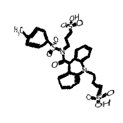 Cc1ccc(S(=O)(=O)N(CCCS(=O)(=O)O)C(=O)C2c3ccccc3N(CCCS(=O)(=O)O)c3ccccc32)cc1